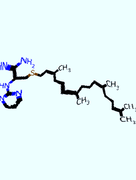 CC(C)=CCCC(C)=CCCC(C)=CCCC(C)=CCSCC(Nc1ncccn1)C(=N)N